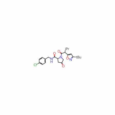 CC(C)C(C(=O)N1CC(=O)CC1C(=O)NCc1ccc(Cl)cc1)c1cc(C(C)(C)C)no1